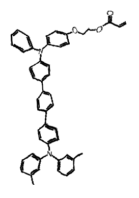 C=CC(=O)OCCOc1ccc(N(c2ccccc2)c2ccc(-c3ccc(-c4ccc(N(c5cccc(C)c5)c5cccc(C)c5)cc4)cc3)cc2)cc1